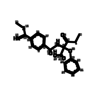 CCC(=O)C(NC(=O)c1ccc(C(=N)SC)cc1)(Oc1ccccc1)C(=O)O